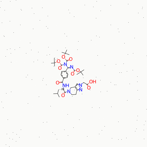 CC(C)C[C@H](NC(=O)c1ccc(C(=NC(=O)OC(C)(C)C)N(C(=O)OC(C)(C)C)C(=O)OC(C)(C)C)cc1)C(=O)N1CCc2nn(CC(=O)O)cc2C1